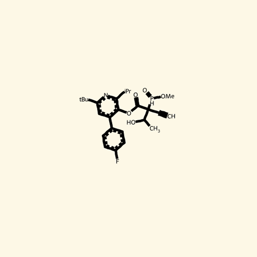 C#CC(C(=O)Oc1c(-c2ccc(F)cc2)cc(C(C)(C)C)nc1C(C)C)(C(C)O)[PH](=O)OC